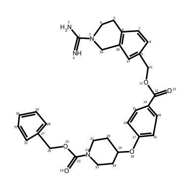 N=C(N)N1CCc2ccc(COC(=O)c3ccc(OC4CCN(C(=O)OCc5ccccc5)CC4)cc3)cc2C1